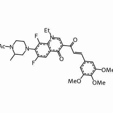 CCn1cc(C(=O)C=Cc2cc(OC)c(OC)c(OC)c2)c(=O)c2cc(F)c(N3CCN(C(C)=O)C(C)C3)c(F)c21